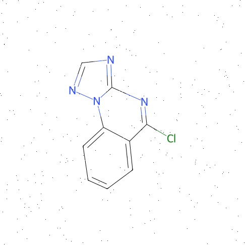 Clc1nc2ncnn2c2ccccc12